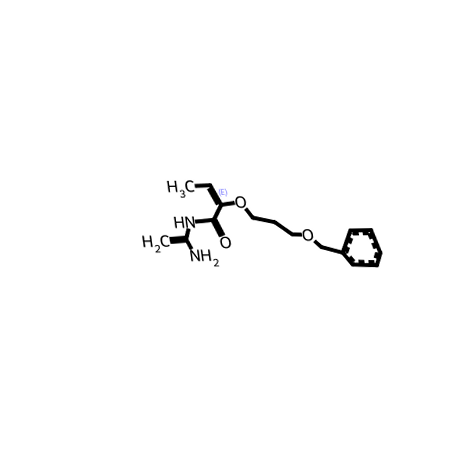 C=C(N)NC(=O)/C(=C\C)OCCCOCc1ccccc1